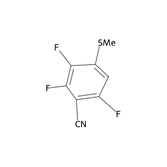 CSc1cc(F)c(C#N)c(F)c1F